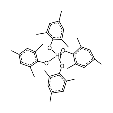 Cc1cc(C)c([O][Hf]([O]c2c(C)cc(C)cc2C)([O]c2c(C)cc(C)cc2C)[O]c2c(C)cc(C)cc2C)c(C)c1